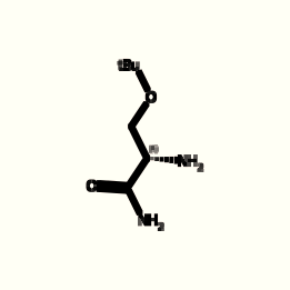 CC(C)(C)OC[C@H](N)C(N)=O